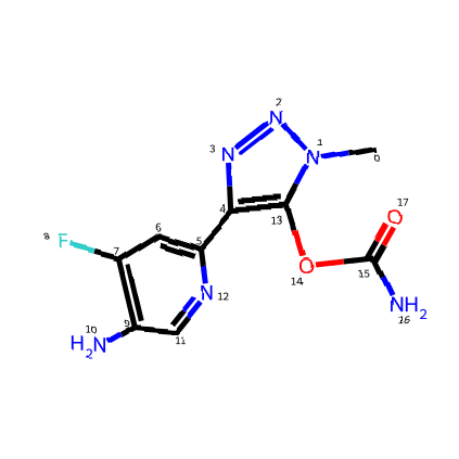 Cn1nnc(-c2cc(F)c(N)cn2)c1OC(N)=O